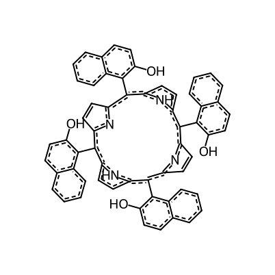 Oc1ccc2ccccc2c1-c1c2nc(c(-c3c(O)ccc4ccccc34)c3ccc([nH]3)c(-c3c(O)ccc4ccccc34)c3nc(c(-c4c(O)ccc5ccccc45)c4ccc1[nH]4)C=C3)C=C2